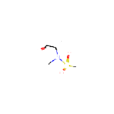 C[C@@H]([C]=O)N(C)S(C)(=O)=O